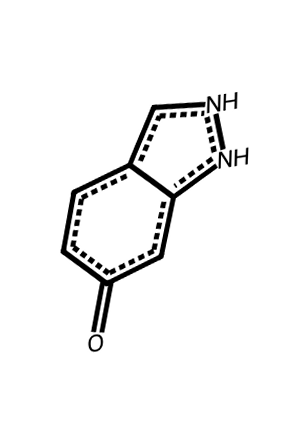 O=c1ccc2c[nH][nH]c-2c1